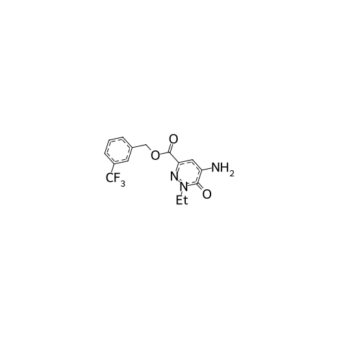 CCn1nc(C(=O)OCc2cccc(C(F)(F)F)c2)cc(N)c1=O